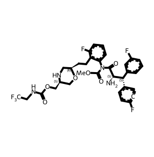 COC(=O)N(C(=O)[C@@H](N)[C@@H](c1ccc(F)cc1)c1cccc(F)c1)c1cccc(F)c1CC[C@@H]1CN[C@H](COC(=O)NCC(F)(F)F)CO1